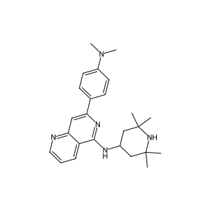 CN(C)c1ccc(-c2cc3ncccc3c(NC3CC(C)(C)NC(C)(C)C3)n2)cc1